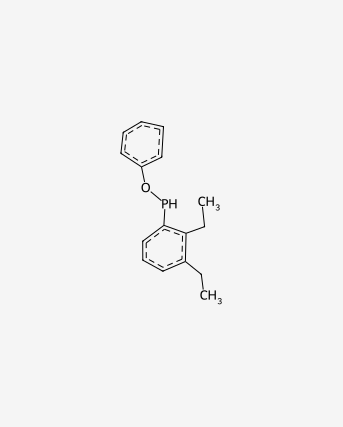 CCc1cccc(POc2ccccc2)c1CC